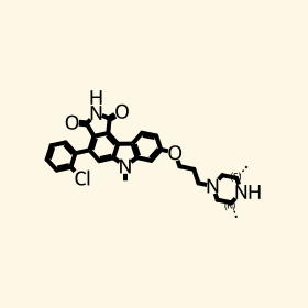 C[C@@H]1CN(CCCOc2ccc3c4c5c(c(-c6ccccc6Cl)cc4n(C)c3c2)C(=O)NC5=O)C[C@H](C)N1